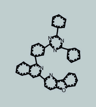 c1ccc(-c2nc(-c3ccccc3)nc(-c3cccc(-c4nc(-c5ccc6oc7ccccc7c6n5)cc5ccccc45)c3)n2)cc1